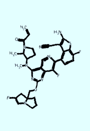 C=CC(=O)N1CCC(N(C)c2nc(OCC34CCCN3CC(F)C4)nc3c(F)c(-c4ccc(F)c5sc(N)c(C#N)c45)ncc23)C1C